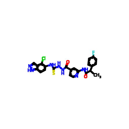 CC(C(=O)Nc1cc(C(=O)NNC(=S)Nc2ccc3[nH]ncc3c2Cl)ccn1)c1ccc(F)cc1